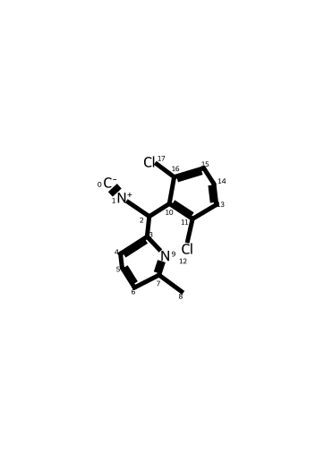 [C-]#[N+]C(c1cccc(C)n1)c1c(Cl)cccc1Cl